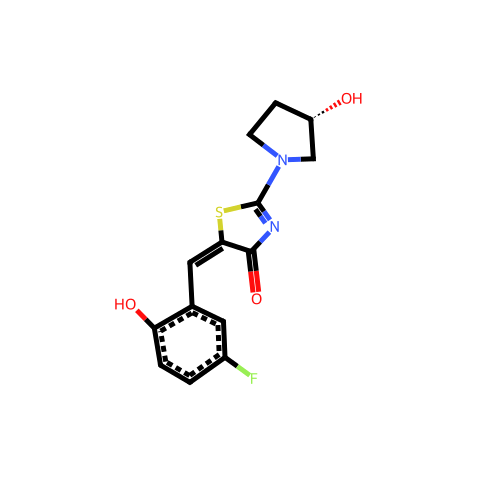 O=C1N=C(N2CC[C@H](O)C2)SC1=Cc1cc(F)ccc1O